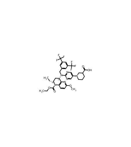 CCOC(=O)N1c2ccc(OC)nc2[C@@H](N(Cc2cc(C(F)(F)F)cc(C(F)(F)F)c2)c2ncc(N3CCCC(C(=O)O)C3)cn2)C[C@H]1CC